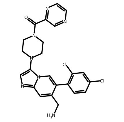 NCc1cc2ncc(N3CCN(C(=O)c4cnccn4)CC3)n2cc1-c1ccc(Cl)cc1Cl